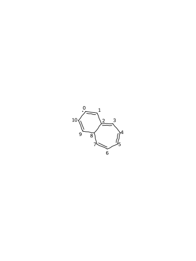 [C]1=CC2=CC=CC=CC2C=C1